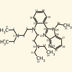 CCN(CC)CCN(CCN(CC)CC)c1ccccc1-c1nc2ncccc2n1CC